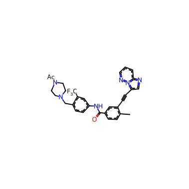 CC(=O)N1CCN(Cc2ccc(NC(=O)c3ccc(C)c(C#Cc4cnc5cccnn45)c3)cc2C(F)(F)F)CC1